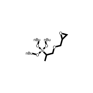 CCCCO[Si](OCCCC)(OCCCC)C(C)COCC1CO1